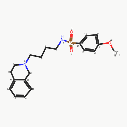 O=S(=O)(NCCCCN1CCc2ccccc2C1)c1ccc(OC(F)(F)F)cc1